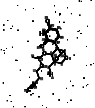 [2H]CC12COC(CC1OP(C)OCC[N+]#[C-])C(n1ccc(=O)[nH]c1=O)O2